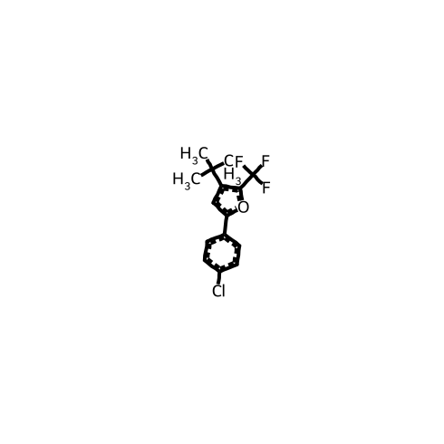 CC(C)(C)c1cc(-c2ccc(Cl)cc2)oc1C(F)(F)F